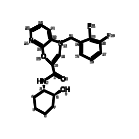 O=C(N[C@H]1CCCC[C@@H]1O)C1=CN(Cc2cccc(F)c2F)c2cccnc2O1